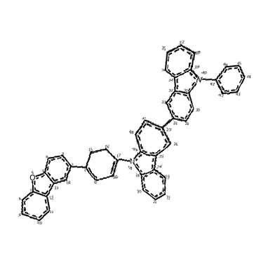 C1=C(c2ccc3oc4ccccc4c3c2)CCC(n2c3ccccc3c3cc(-c4ccc5c(c4)c4ccccc4n5-c4ccccc4)ccc32)=C1